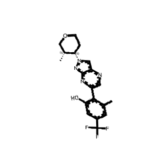 Cc1cc(C(F)(F)F)cc(O)c1-c1cnc2cn([C@H]3CCOC[C@H]3C)nc2n1